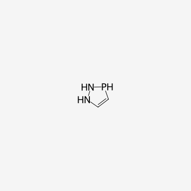 C1=CPNN1